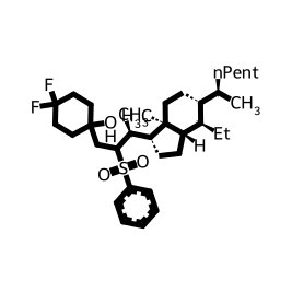 CCCCC[C@@H](C)[C@H]1CC[C@]2(C)[C@@H]([C@H](C)C(CC3(O)CCC(F)(F)CC3)S(=O)(=O)c3ccccc3)CC[C@H]2[C@@H]1CC